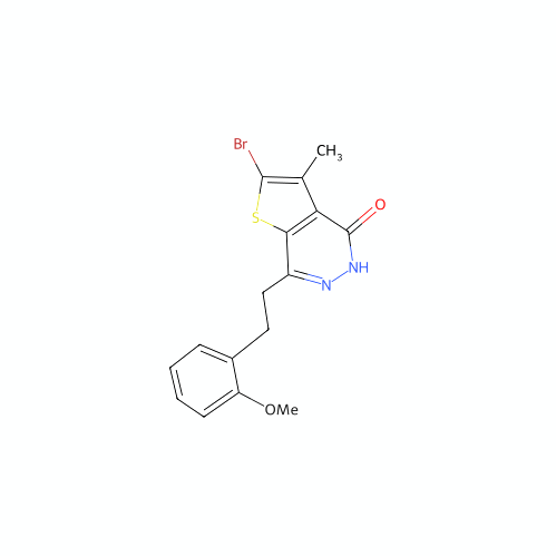 COc1ccccc1CCc1n[nH]c(=O)c2c(C)c(Br)sc12